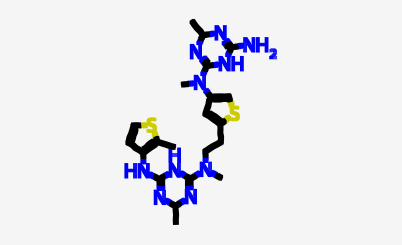 Cc1sccc1NC1=NC(C)N=C(N(C)CCc2cc(N(C)C3=NC(C)N=C(N)N3)cs2)N1